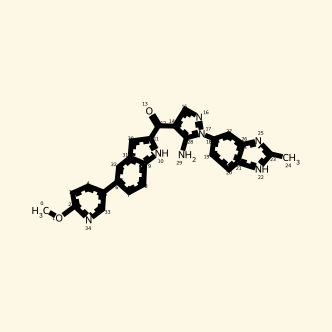 COc1ccc(-c2ccc3[nH]c(C(=O)c4cnn(-c5ccc6[nH]c(C)nc6c5)c4N)cc3c2)cn1